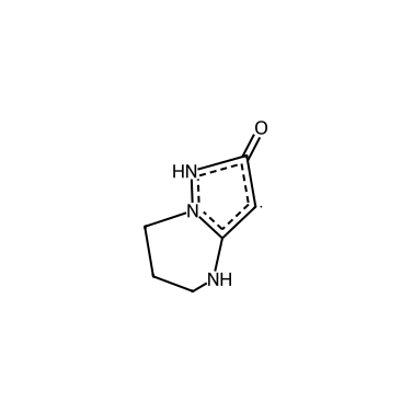 O=c1[c]c2n([nH]1)CCCN2